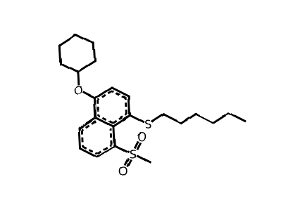 CCCCCCSc1ccc(OC2CCCCC2)c2cccc(S(C)(=O)=O)c12